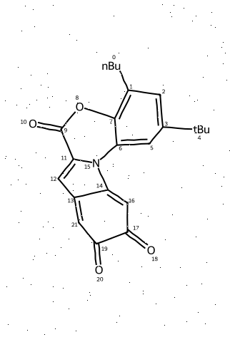 CCCCc1cc(C(C)(C)C)cc2c1oc(=O)c1cc3c(n12)=CC(=O)C(=O)C=3